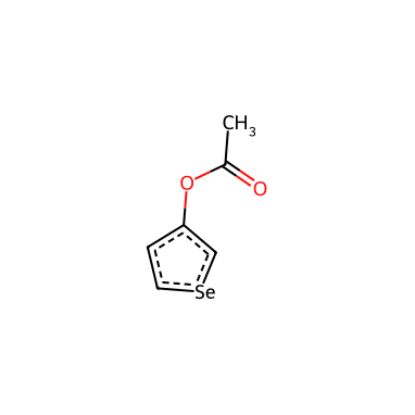 CC(=O)Oc1cc[se]c1